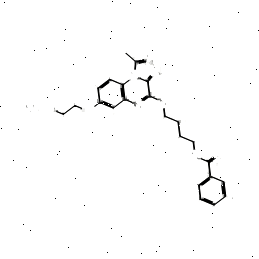 COCCOc1ccc2c(c1)nc(NCCCCNC(=O)c1ccccc1)c1nnc(C)n12